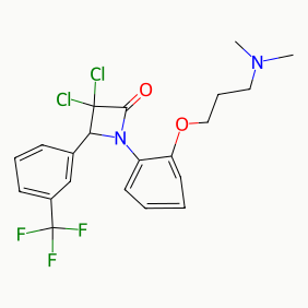 CN(C)CCCOc1ccccc1N1C(=O)C(Cl)(Cl)C1c1cccc(C(F)(F)F)c1